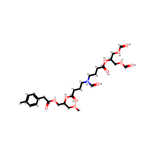 COCC(COC(=O)Cc1ccc(C)cc1)OC(=O)CCCN(C=O)CCCC(=O)OC(COC=O)COC=O